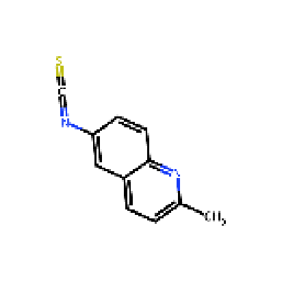 Cc1ccc2cc(N=C=S)ccc2n1